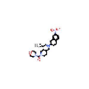 CCCN(CC1CCN(C(=O)N2CCOCC2)CC1)C1CCc2ccc([N+](=O)[O-])cc2C1